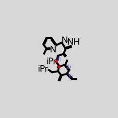 C=C(/C=C\C(=C)c1c[nH]nc1-c1cccc(C)n1)/C(C)=C\C(=C/C)C(=C)C(CC(C)C)CC(C)C